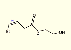 CC/C=C\CC(=O)NCCO